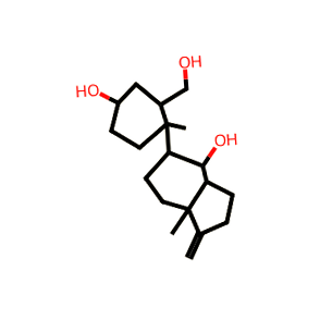 C=C1CCC2C(O)C(C3(C)CCC(O)CC3CO)CCC12C